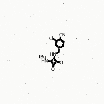 CC(C)(C)Nc1c(NCc2ccc(C#N)c(Cl)c2)c(=O)c1=O